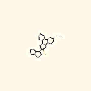 COc1ccc2c(c1)c1ccccc1c1cc3c(cc21)sc1ccc2ccccc2c13